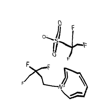 FC(F)(F)C[n+]1ccccc1.O=S(=O)([O-])C(F)(F)F